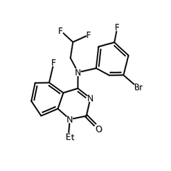 CCn1c(=O)nc(N(CC(F)F)c2cc(F)cc(Br)c2)c2c(F)cccc21